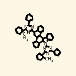 CC1CC=CC=C1c1nc(-c2ccccc2)nc(-n2c3ccccc3c3c4c5ccccc5c(-c5nc(-c6ccccc6)nc(C6(C)C=CC=CC6)n5)cc4c4ccccc4c32)n1